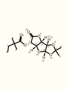 CCC(C)(C)C(=O)O[C@@H]1C(=O)O[C@@H]2[C@@H]3OC(C)(C)O[C@@H]3O[C@@H]21